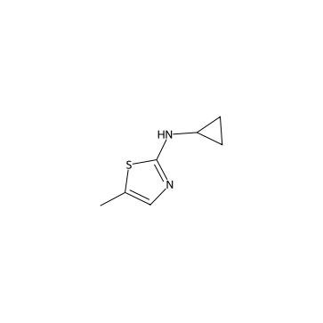 Cc1cnc(NC2CC2)s1